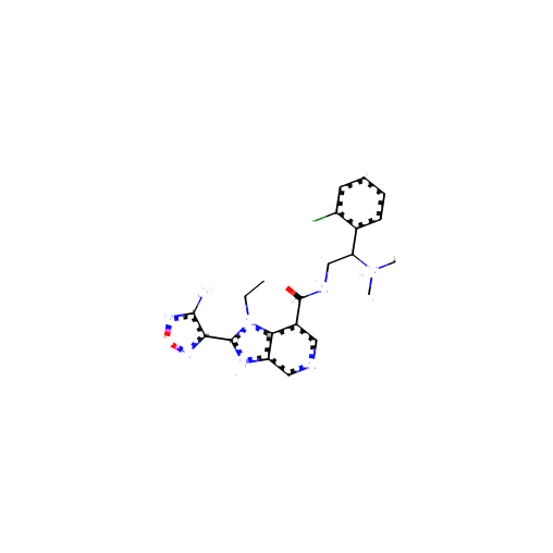 CCn1c(-c2nonc2N)nc2cncc(C(=O)NCC(c3ccccc3Cl)N(C)C)c21